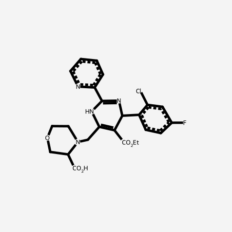 CCOC(=O)C1=C(CN2CCOCC2C(=O)O)NC(c2ccccn2)=NC1c1ccc(F)cc1Cl